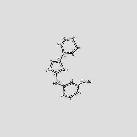 CC(C)COc1cccc(Nc2ncc(-c3ccccn3)s2)n1